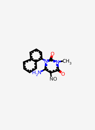 Cn1c(=O)c(N=O)c(N)n(-c2cccc3ccccc23)c1=O